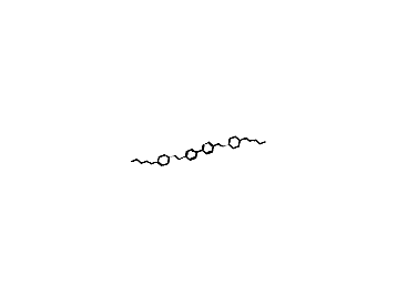 CCCCC[C@H]1CC[C@H](CCc2ccc(-c3ccc(CC[C@H]4CC[C@H](CCCCC)CC4)cc3)cc2)CC1